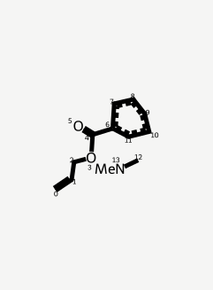 C=CCOC(=O)c1ccccc1.CNC